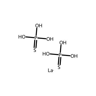 OP(O)(O)=S.OP(O)(O)=S.[La]